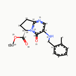 Cc1ccccc1CNc1cnc2n(c1=O)[C@H](C(=O)OC(C)(C)C)CC2